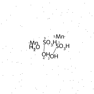 O.O=S(=O)(O)O.O=S(=O)(O)O.[Mn].[Mn]